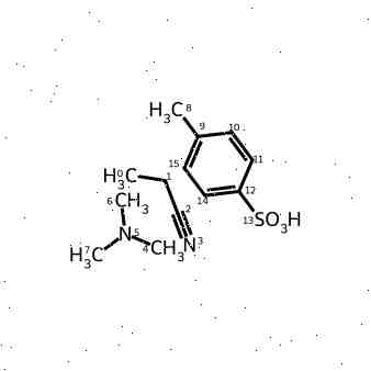 CCC#N.CN(C)C.Cc1ccc(S(=O)(=O)O)cc1